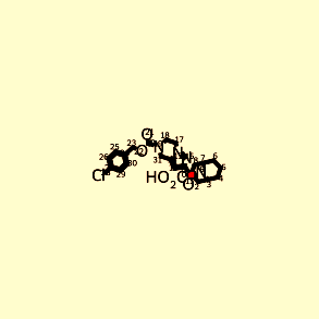 O=C(O)C1CC2CCCC(C1)N2C(=O)c1cc2n(n1)CCN(C(=O)OCc1ccc(Cl)cc1)C2